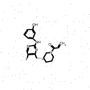 C=CC(=O)N1CCC[C@H](Cc2nc(Nc3cccc(O)c3)ncc2F)C1